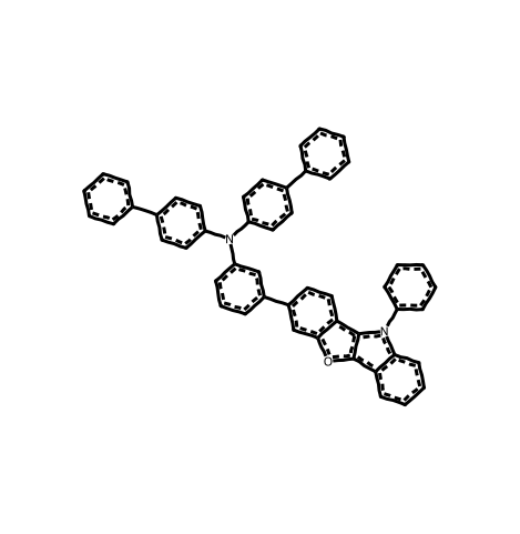 c1ccc(-c2ccc(N(c3ccc(-c4ccccc4)cc3)c3cccc(-c4ccc5c(c4)oc4c6ccccc6n(-c6ccccc6)c54)c3)cc2)cc1